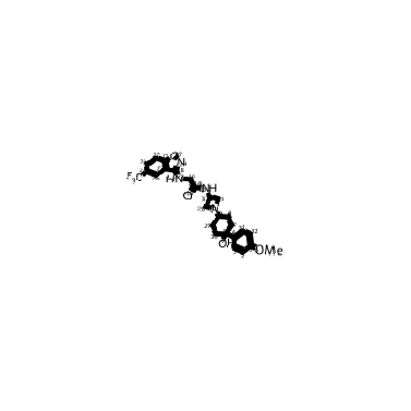 COc1ccc(C2(O)CCC(N3CC(NC(=O)CNc4noc5ccc(C(F)(F)F)cc45)C3)CC2)cc1